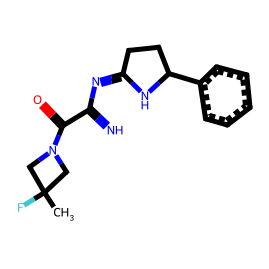 CC1(F)CN(C(=O)C(=N)/N=C2/CCC(c3ccccc3)N2)C1